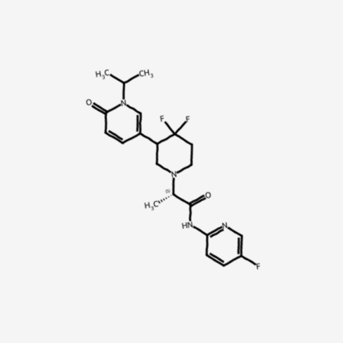 CC(C)n1cc(C2CN([C@@H](C)C(=O)Nc3ccc(F)cn3)CCC2(F)F)ccc1=O